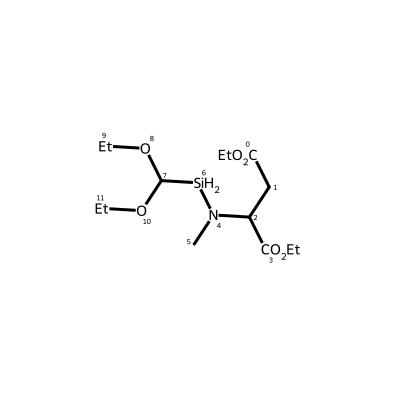 CCOC(=O)CC(C(=O)OCC)N(C)[SiH2]C(OCC)OCC